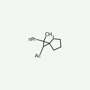 CCCC1(C)C(C(C)=O)C12CCCC2